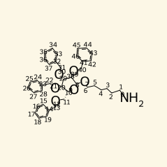 NCCCCCCOC1O[C@H](COCc2ccccc2)[C@@H](OCc2ccccc2)[C@H](OCc2ccccc2)[C@@H]1OCc1ccccc1